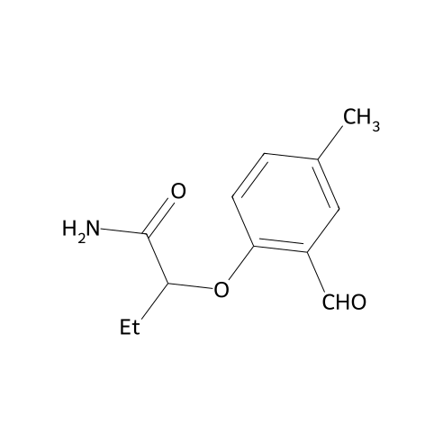 CCC(Oc1ccc(C)cc1C=O)C(N)=O